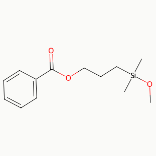 CO[Si](C)(C)CCCOC(=O)c1ccccc1